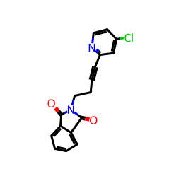 O=C1c2ccccc2C(=O)N1CCC#Cc1cc(Cl)ccn1